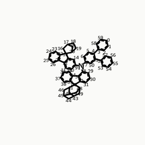 c1ccc(-c2ccc(N(c3ccc4c(c3)C3(CC5CCC3C5)c3ccccc3-4)c3cccc4c3-c3ccccc3C43C4CC5CC(C4)CC3C5)cc2-c2ccccc2)cc1